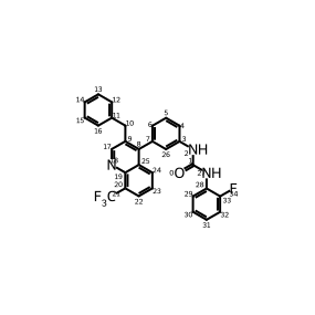 O=C(Nc1cccc(-c2c(Cc3ccccc3)cnc3c(C(F)(F)F)cccc23)c1)Nc1ccccc1F